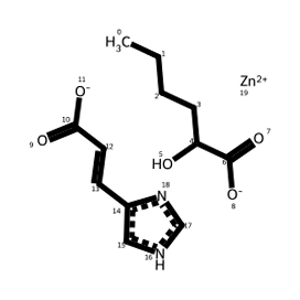 CCCCC(O)C(=O)[O-].O=C([O-])C=Cc1c[nH]cn1.[Zn+2]